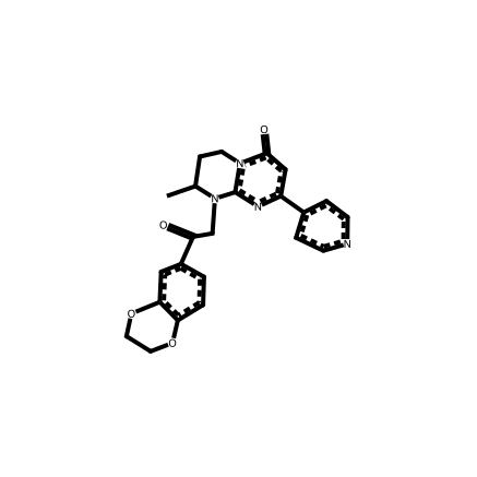 CC1CCn2c(nc(-c3ccncc3)cc2=O)N1CC(=O)c1ccc2c(c1)OCCO2